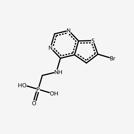 O=P(O)(O)CNc1ncnc2sc(Br)cc12